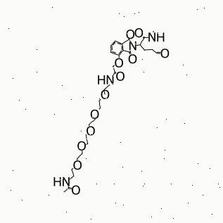 CNC(=O)C(CCC=O)N1C(=O)c2cccc(OCC(=O)NCCOCCOCCOCCOCCOCCNC(C)=O)c2C1=O